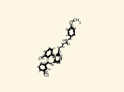 COc1ccc(CNC(=O)CCCc2nnc(SCc3cccc(Cl)c3)n2-c2cccc(Cl)c2)cc1